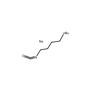 CCCCCCCCN=C=O.[Na]